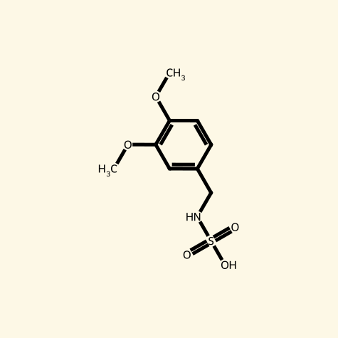 COc1ccc(CNS(=O)(=O)O)cc1OC